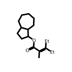 CCC(CC)=C(C)C(=O)OC1CCC2CCCCCC21